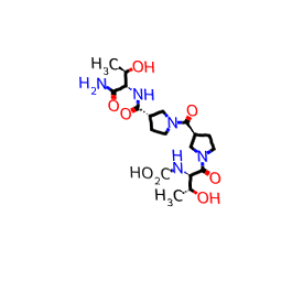 C[C@@H](O)[C@H](NC(=O)[C@H]1CCN(C(=O)[C@H]2CCN(C(=O)[C@@H](NC(=O)O)[C@@H](C)O)C2)C1)C(N)=O